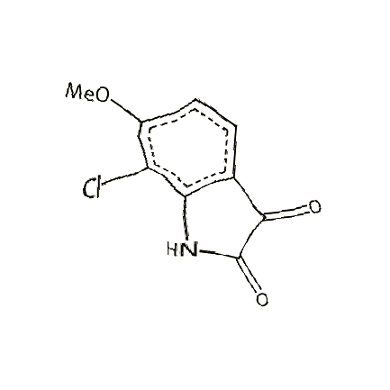 COc1ccc2c(c1Cl)NC(=O)C2=O